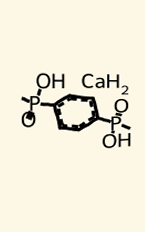 CP(=O)(O)c1ccc(P(C)(=O)O)cc1.[CaH2]